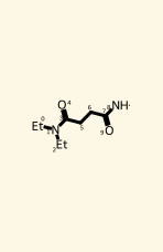 CCN(CC)C(=O)CCC([NH])=O